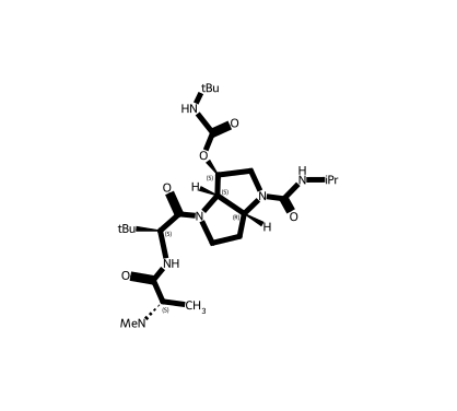 CN[C@@H](C)C(=O)N[C@H](C(=O)N1CC[C@@H]2[C@H]1[C@@H](OC(=O)NC(C)(C)C)CN2C(=O)NC(C)C)C(C)(C)C